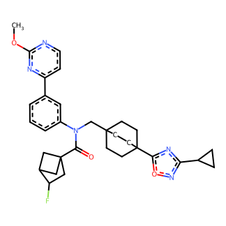 COc1nccc(-c2cccc(N(CC34CCC(c5nc(C6CC6)no5)(CC3)CC4)C(=O)C34CC(F)C(C3)C4)c2)n1